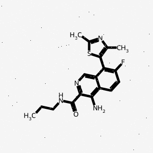 CCCNC(=O)c1ncc2c(-c3sc(C)nc3C)c(F)ccc2c1N